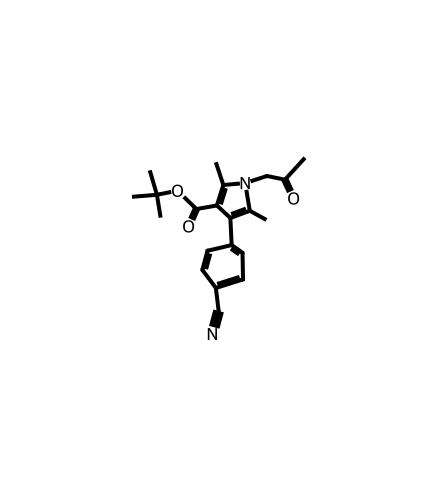 CC(=O)Cn1c(C)c(C(=O)OC(C)(C)C)c(-c2ccc(C#N)cc2)c1C